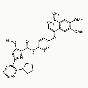 C=Nc1cc(OC)c(OC)cc1/C(=C\C)Oc1ccc(NC(=O)c2nn(-c3cncnc3N3CCCC3)cc2OCC)nc1